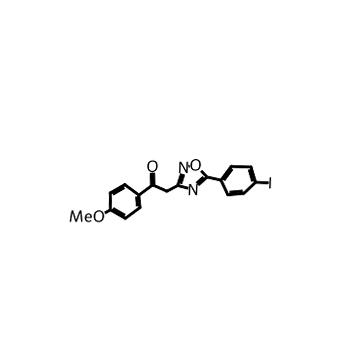 COc1ccc(C(=O)Cc2noc(-c3ccc(I)cc3)n2)cc1